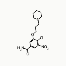 NC(=O)c1cc(OCCCN2CCCCC2)c(Cl)c([N+](=O)[O-])c1